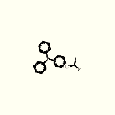 CC(Br)I.c1ccc(P(c2ccccc2)c2ccccc2)cc1